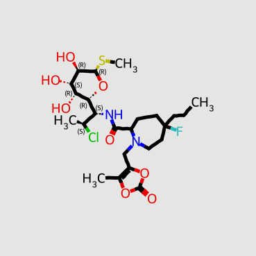 CCCC1(F)CCC(C(=O)N[C@@H]([C@H]2O[C@H](SC)[C@H](O)[C@@H](O)[C@H]2O)[C@H](C)Cl)N(Cc2oc(=O)oc2C)CC1